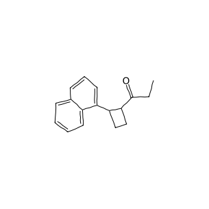 CCC(=O)C1CCC1c1cccc2ccccc12